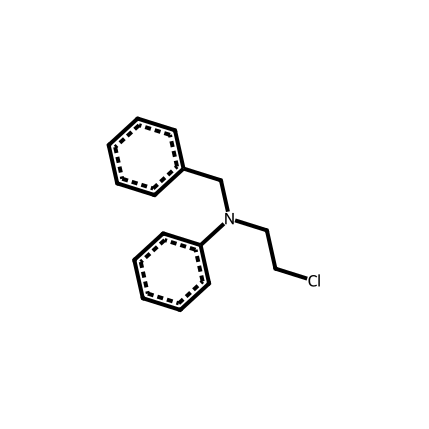 ClCCN(Cc1ccccc1)c1ccccc1